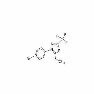 CSc1cc(C(F)(F)F)nn1-c1ccc(Br)cc1